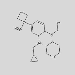 CC(C)CN(C1CCOCC1)C1C=CC(C2(C(=O)O)CCC2)=CC1NCC1CC1